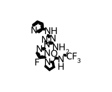 Nc1nc(Nc2cccnc2)nn1-c1ncc(F)c(N2CCC[C@@H]2C(=O)NCC(F)(F)F)n1